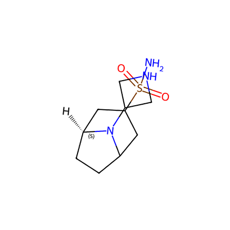 NS(=O)(=O)C1CC2CC[C@@H](C1)N2C1CNC1